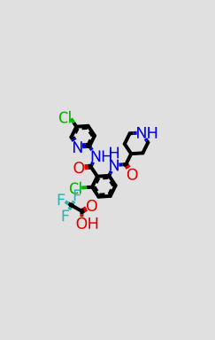 O=C(Nc1ccc(Cl)cn1)c1c(Cl)cccc1NC(=O)C1CCNCC1.O=C(O)C(F)(F)F